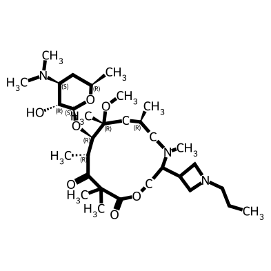 CCCN1CC(C2COC(=O)C(C)(C)C(=O)[C@H](C)[C@@H](O[C@@H]3O[C@H](C)C[C@H](N(C)C)[C@H]3O)[C@](C)(OC)C[C@@H](C)CN2C)C1